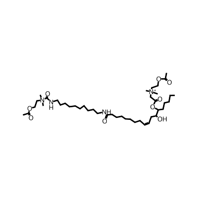 CCCCCC(OC(=O)C[N+](C)(C)CCOC(C)=O)C(O)C/C=C\CCCCCCCC(=O)NCCCCCCCCCCNC(=O)[N+](C)(C)CCOC(C)=O